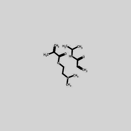 C=C(C)C(=O)OCCN(C)C.C=CC(=O)NC(C)C